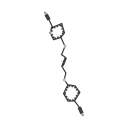 N#Cc1ccc(OC/C=C/COc2ccc(C#N)nc2)cc1